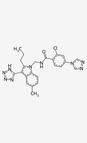 CCCc1c(-c2nnn[nH]2)c2cc(C)ccc2n1CNC(=O)c1ccc(-n2cnnc2)cc1Cl